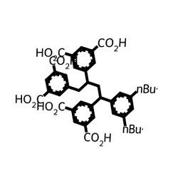 [CH2][CH]C[CH]c1cc([CH]C[CH][CH2])cc(C(CC(Cc2cc(C(=O)O)cc(C(=O)O)c2)c2cc(C(=O)O)cc(C(=O)O)c2)c2cc(C(=O)O)cc(C(=O)O)c2)c1